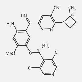 COc1cc(N)c(C(=N)c2cnc(N3CC[C@@H]3C)c(C#N)c2)cc1O[C@H](N)c1c(Cl)cncc1Cl